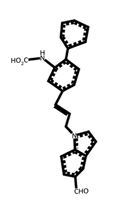 O=Cc1ccc2c(ccn2C/C=C/c2ccc(-c3ccccc3)c(NC(=O)O)c2)c1